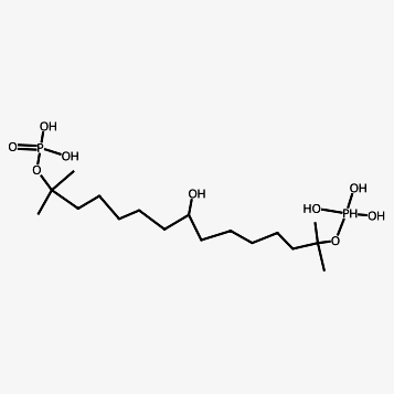 CC(C)(CCCCCC(O)CCCCCC(C)(C)O[PH](O)(O)O)OP(=O)(O)O